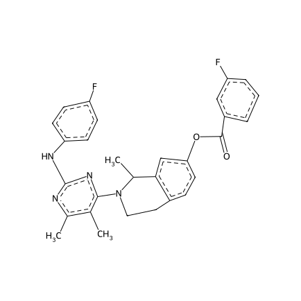 Cc1nc(Nc2ccc(F)cc2)nc(N2CCc3ccc(OC(=O)c4cccc(F)c4)cc3C2C)c1C